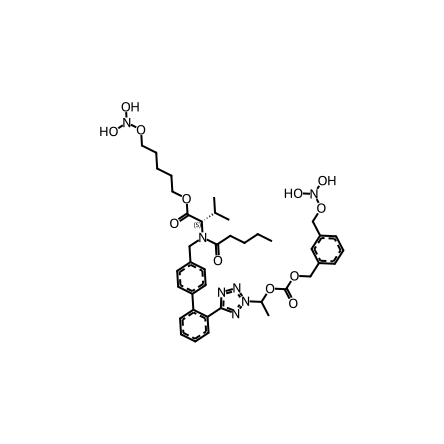 CCCCC(=O)N(Cc1ccc(-c2ccccc2-c2nnn(C(C)OC(=O)OCc3cccc(CON(O)O)c3)n2)cc1)[C@H](C(=O)OCCCCCON(O)O)C(C)C